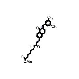 COC(=O)CCCCCNC(=O)/C=C/c1ccc2c(c1)CC/C(=C\c1cc(C(F)(F)F)cc(C(F)(F)F)c1)C2=O